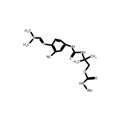 CN(C)/C=N/c1ccc(NC(=S)NC(C)(C)COC(=O)NC(C)(C)C)cc1C#N